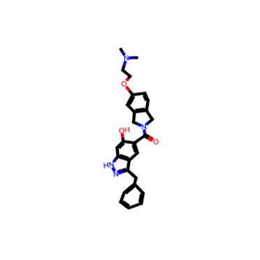 CN(C)CCOc1ccc2c(c1)CN(C(=O)c1cc3c(Cc4ccccc4)n[nH]c3cc1O)C2